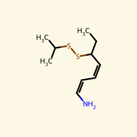 CCC(/C=C\C=C/N)SSC(C)C